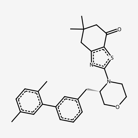 Cc1ccc(C)c(-c2cccc(C[C@H]3COCCN3c3nc4c(s3)C(=O)CC(C)(C)C4)c2)c1